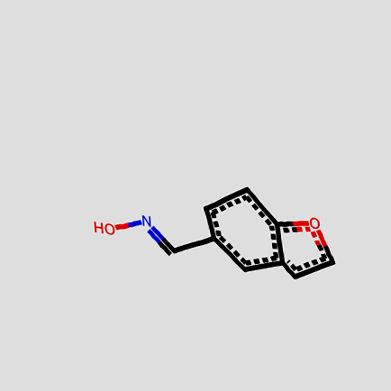 ON=Cc1ccc2occc2c1